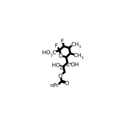 CCCC(=O)OC[C@@H](O)[C@@H](O)C1OC(F)(C(=O)O)C(F)C(C)C1C